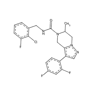 CC1Cn2ncc(-c3ccc(F)cc3F)c2CN1C(=O)NCc1cccc(F)c1Cl